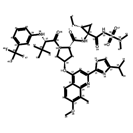 CC[C@@H]1C[C@]1(NC(=O)[C@@H]1C[C@@H](Oc2cc(-c3nc(C(C)C)cs3)nc3c(C)c(OC)ccc23)CN1C(=O)[C@@H](Nc1cccc(C(F)(F)F)c1)C(C)(C)C)C(=O)NS(=O)(=O)N(C)C